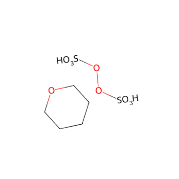 C1CCOCC1.O=S(=O)(O)OOS(=O)(=O)O